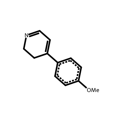 COc1ccc(C2=CC=NCC2)cc1